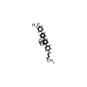 CCCCC[C@H]1CC[C@H](c2ccc(-c3ccc([C@H]4CC[C@H](C)CC4)cc3)cc2)CC1.CCO